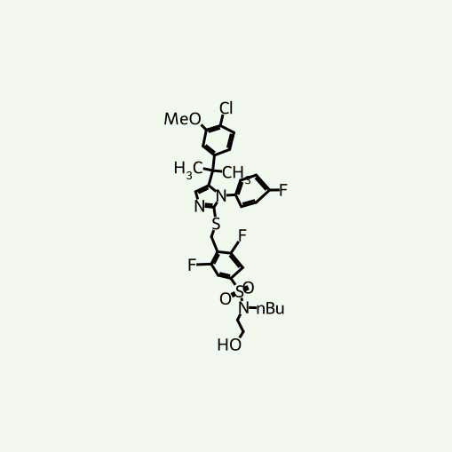 CCCCN(CCO)S(=O)(=O)c1cc(F)c(CSc2ncc(C(C)(C)c3ccc(Cl)c(OC)c3)n2-c2ccc(F)cc2)c(F)c1